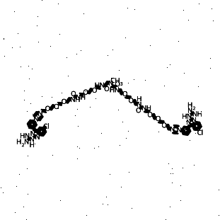 CN(CC(=O)NCCOCCOCCNC(=O)NCCOCCOCCOCCN1CCN(c2cccc(-c3nc(NC(=N)N)nc4ccc(Cl)cc34)c2)CC1)CC(=O)NCCOCCOCCNC(=O)NCCOCCOCCOCCN1CCN(c2cccc(-c3nc(NC(=N)N)nc4ccc(Cl)cc34)c2)CC1